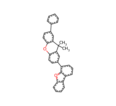 CC1(C)c2cc(-c3ccccc3)ccc2Oc2ccc(-c3cccc4c3oc3ccccc34)cc21